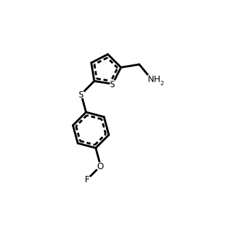 NCc1ccc(Sc2ccc(OF)cc2)s1